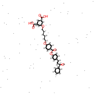 O=C(O)c1cc(OCCCCCCOc2ccc(C(=O)Oc3ccc(C=CC(=O)c4ccccc4)cc3)cc2)cc(C(=O)O)c1